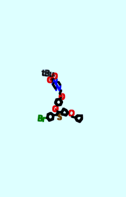 CC(C)(C)OC(=O)N1CCN(CCOc2ccc(Oc3c(-c4ccc(Br)cc4)sc4cc(OCc5ccccc5)ccc34)cc2)CC1